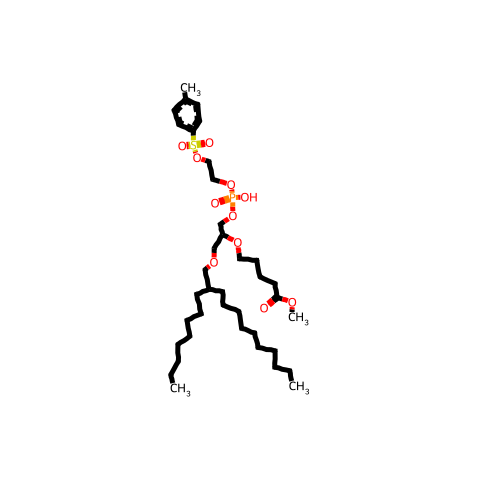 CCCCCCCCCCC(CCCCCCCC)COCC(COP(=O)(O)OCCOS(=O)(=O)c1ccc(C)cc1)OCCCCC(=O)OC